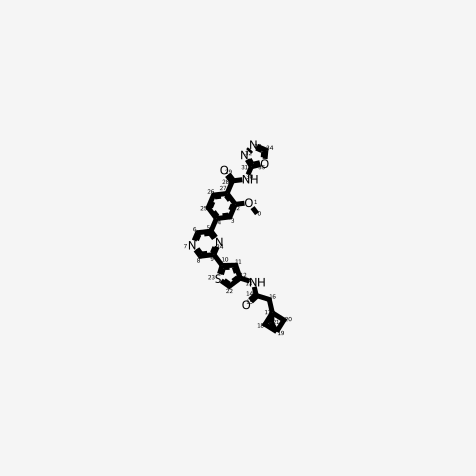 COc1cc(-c2cncc(-c3cc(NC(=O)CC45CC(C4)C5)cs3)n2)ccc1C(=O)Nc1nnco1